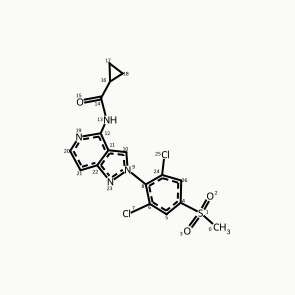 CS(=O)(=O)c1cc(Cl)c(-n2cc3c(NC(=O)C4CC4)nccc3n2)c(Cl)c1